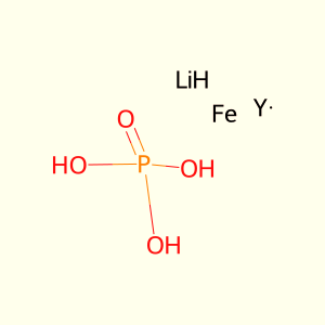 O=P(O)(O)O.[Fe].[LiH].[Y]